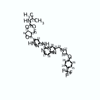 CC(C)NC(=O)O[C@H]1CO[C@@H](c2cc(Nc3nccc4nc(CN5CC(Oc6ccc(C(F)(F)F)cc6)C5)cn34)n[nH]2)[C@H]1F